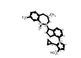 C[C@H]1Cc2ccc(C(F)(F)F)cc2[S+]([O-])N(C2CCc3c2cccc3-n2ccc(C(=O)O)c2C2CC2)C1